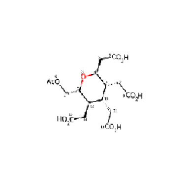 CC(=O)OC[C@@H]1O[C@@H](CC(=O)O)[C@H](CC(=O)O)[C@H](CC(=O)O)[C@H]1CC(=O)O